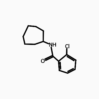 O=C(NC1CCCCCC1)c1ccccc1Cl